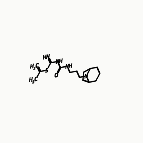 C=C(C)SC(=N)NC(=O)NCCCN1C2CCCC1CC2